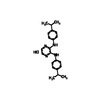 CC(C)c1ccc(Nc2nccnc2Nc2ccc(C(C)C)cc2)cc1.Cl